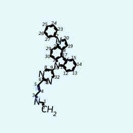 C=C/N=C\C=C\c1ncc(-n2c3ccccc3c3c4ccn(-c5ccccc5)c4ccc32)cn1